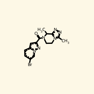 Cc1nnc2n1CCN(C(=O)c1cc3ccc(Br)cn3n1)C2C